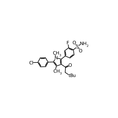 Cc1c(C(=O)CC(C)(C)C)c(-c2ccc(S(N)(=O)=O)c(F)c2)n(C)c1-c1ccc(Cl)cc1